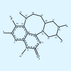 Cc1nc2c3c(nc(=O)n2I)N2CC(C)N(C)CC2CCN(C)c3c1F